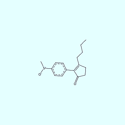 CCCCC1=C(c2ccc([S+](C)[O-])cc2)C(=O)CC1